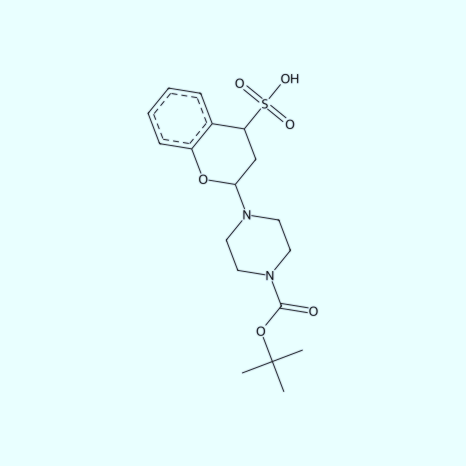 CC(C)(C)OC(=O)N1CCN(C2CC(S(=O)(=O)O)c3ccccc3O2)CC1